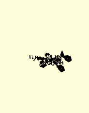 CC(C)C[C@@H](NC(=O)[C@@H](Cc1ccccc1)NC(=O)CNC1C[C@@H]1c1ccccc1)C(=O)N[C@H](CCCCN)C(=O)N1CCOCC1